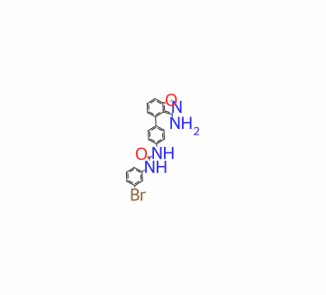 Nc1noc2cccc(-c3ccc(NC(=O)Nc4cccc(Br)c4)cc3)c12